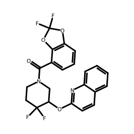 O=C(c1cccc2c1OC(F)(F)O2)N1CCC(F)(F)C(Oc2ccc3ccccc3n2)C1